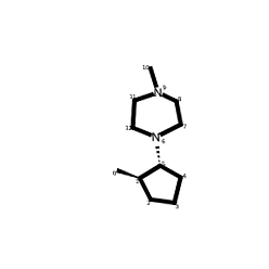 C[C@@H]1CCC[C@H]1N1CCN(C)CC1